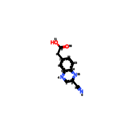 N#Cc1cnc2cc(CC(=O)O)ccc2n1